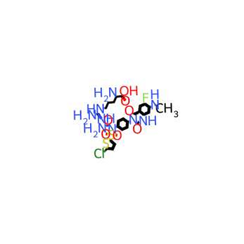 CNc1cc2[nH]c(=O)n(-c3ccc(N(C(N)=O)S(=O)(=O)c4ccc(Cl)s4)cc3)c(=O)c2cc1F.N=C(N)NCCC[C@H](N)C(=O)O